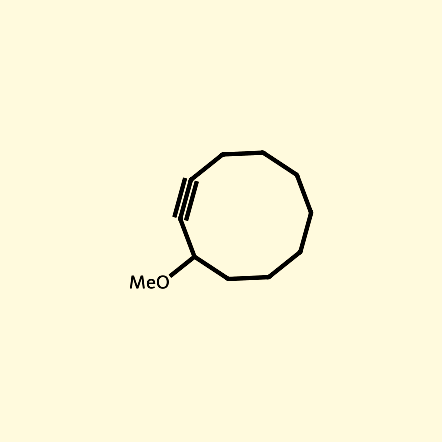 [CH2]OC1C#CCCCCCCC1